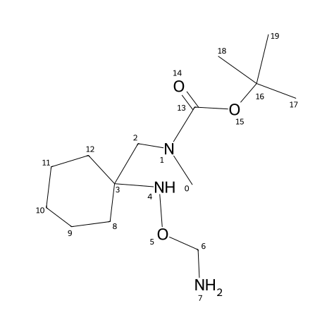 CN(CC1(NOCN)CCCCC1)C(=O)OC(C)(C)C